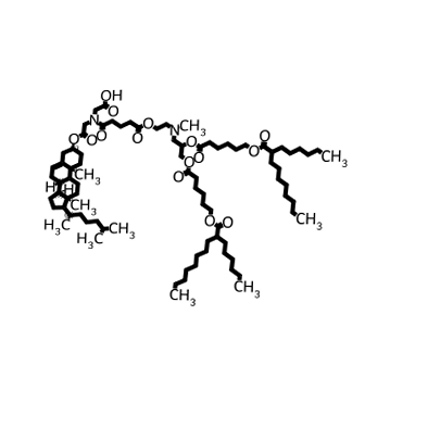 CCCCCCCCC(CCCCCC)C(=O)OCCCCCC(=O)OCC(CN(C)CCOC(=O)CCCC(=O)N(CC(=O)O)CC(=O)O[C@H]1CC[C@@]2(C)C(=CC[C@@H]3C2CC[C@]2(C)C([C@H](C)CCCC(C)C)CC[C@@H]32)C1)OC(=O)CCCCCOC(=O)C(CCCCCC)CCCCCCCC